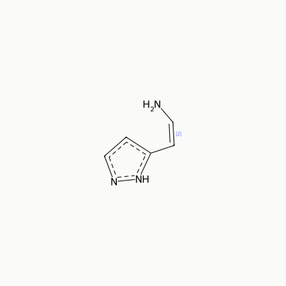 N/C=C\c1ccn[nH]1